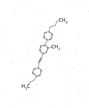 CCCCc1ccc(-c2ccc(C#Cc3ccc(CCC)cc3)cc2C)cc1